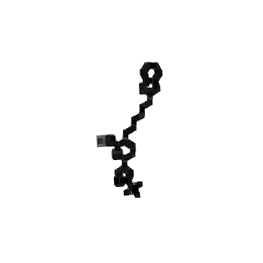 C[Si](C)(C)c1cc(C2CC=C(CCCCCCc3cc4ccccc4s3)C(O)O2)co1